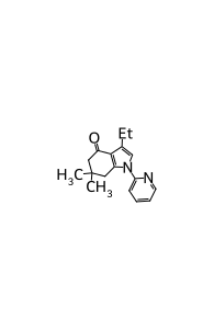 CCc1cn(-c2ccccn2)c2c1C(=O)CC(C)(C)C2